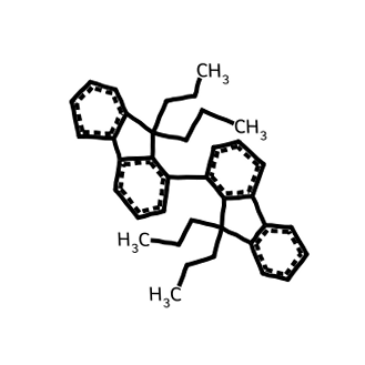 CCCC1(CCC)c2ccccc2-c2cccc(-c3cccc4c3C(CCC)(CCC)c3ccccc3-4)c21